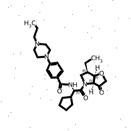 CCCN1CCN(c2ccc(C(=O)N[C@H](C(=O)N3C[C@@H](CC)[C@H]4OCC(=O)[C@H]43)C3CCCC3)cc2)CC1